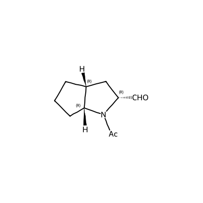 CC(=O)N1[C@@H]2CCC[C@@H]2C[C@@H]1C=O